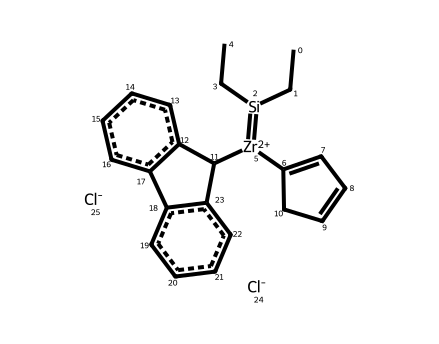 CC[Si](CC)=[Zr+2]([C]1=CC=CC1)[CH]1c2ccccc2-c2ccccc21.[Cl-].[Cl-]